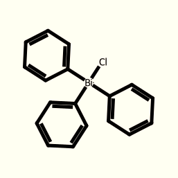 [Cl][Bi]([c]1ccccc1)([c]1ccccc1)[c]1ccccc1